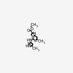 CCOC(=O)c1cn2c(Nc3cc(C)[nH]n3)nc(C)cc2n1